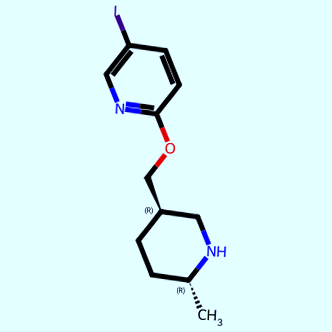 C[C@@H]1CC[C@@H](COc2ccc(I)cn2)CN1